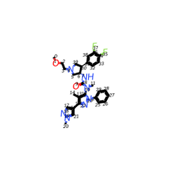 COCCN1C[C@@H](NC(=O)N(C)c2c(C)c(-c3cnn(C)c3)nn2-c2ccccc2)[C@H](c2ccc(F)c(F)c2)C1